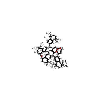 Cc1cc2c3c(c1)N(c1ccc4c(c1)C(C)(C)CCC4(C)C)c1sc4c5c1B3c1cc3c(cc1N2c1cc2c(cc1-c1ccccc1)C(C)(C)CCC2(C)C)C(C)(C)CCC3(C)CC5(C)CCC4(C)C